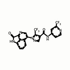 O=C(Nc1ccnc(C(F)(F)F)c1)c1cnn(-c2cnc3c4c(cccc24)NC3=O)c1C(F)(F)F